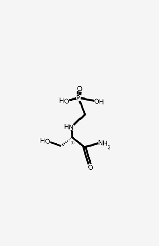 NC(=O)[C@H](CO)NCP(=O)(O)O